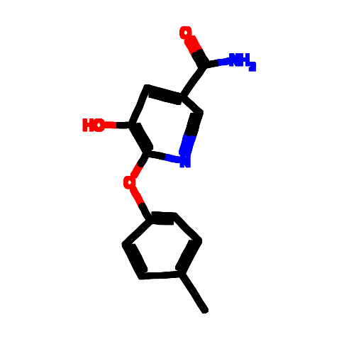 Cc1ccc(Oc2ncc(C(N)=O)cc2O)cc1